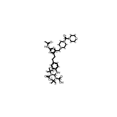 CC(=O)Nc1nc(CCc2ccc(NC(N(C(=O)O)C(C)(C)C)N(C(=O)O)C(C)(C)C)cc2)c(CN2CCN(C(=O)N3CCOCC3)CC2)s1